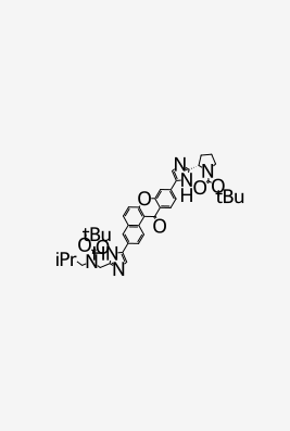 CC(C)CN(Cc1ncc(-c2ccc3c(ccc4oc5cc(-c6cnc([C@@H]7CCCN7C(=O)OC(C)(C)C)[nH]6)ccc5c(=O)c43)c2)[nH]1)C(=O)OC(C)(C)C